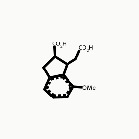 COc1cccc2c1C(CC(=O)O)C(C(=O)O)C2